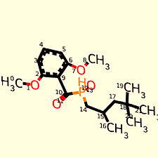 COc1cccc(OC)c1C(=O)[PH](=O)CC(C)CC(C)(C)C